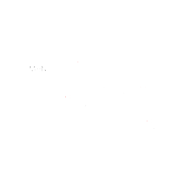 CNC(=O)Oc1ccc2c(c1)OCO2